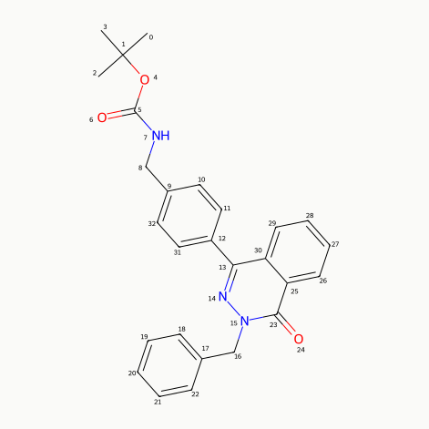 CC(C)(C)OC(=O)NCc1ccc(-c2nn(Cc3ccccc3)c(=O)c3ccccc23)cc1